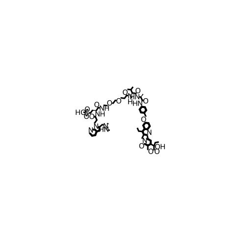 CCc1c2c(nc3ccc(OCc4ccc(NC(=O)[C@H](C)NC(=O)[C@@H](NC(=O)CCOCCOCCNC(=O)[C@H](CCS(=O)(=O)O)NC(=O)CCn5c(CN(C)NC)cc6cccnc65)C(C)C)cc4)cc13)-c1cc3c(c(=O)n1C2)COC(=O)[C@]3(O)CC